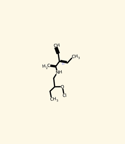 C#C/C(=C\C)C(=C)NCC(CC)OCl